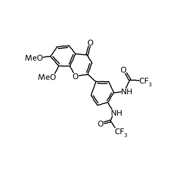 COc1ccc2c(=O)cc(-c3ccc(NC(=O)C(F)(F)F)c(NC(=O)C(F)(F)F)c3)oc2c1OC